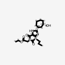 CCCn1c(=O)n(CC(=O)OCC)c(=O)c2[nH]c([C@@H]3CCCC[C@H](O)C3)nc21